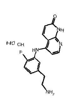 Cl.Cl.NCCc1ccc(F)c(Nc2ccnc3[nH]c(=O)ccc23)c1